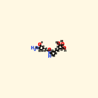 COc1cc(/C=C/C(=O)Nc2cccc(C=Cc3cc(OC)c(OC)c(OC)c3)c2)ccc1N